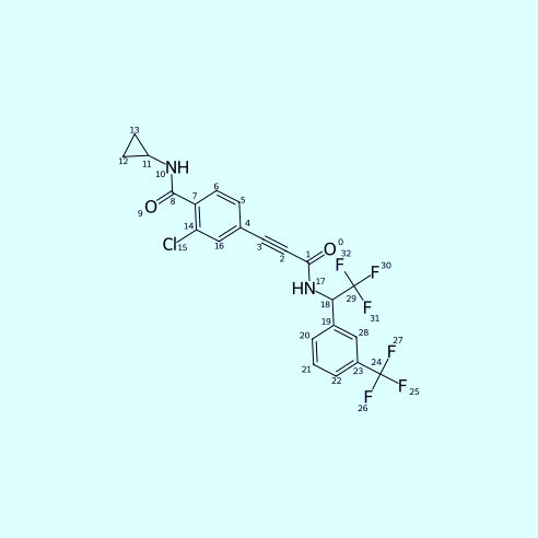 O=C(C#Cc1ccc(C(=O)NC2CC2)c(Cl)c1)NC(c1cccc(C(F)(F)F)c1)C(F)(F)F